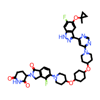 CC1(Oc2cc3c(-c4cc(N5CCC(OC6CCC(OC7CCN(c8ccc9c(c8F)CN(C8CCC(=O)NC8=O)C9=O)CC7)CC6)CC5)ncn4)n[nH]c3cc2F)CC1